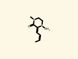 C/C=C\C=C1\C(=O)N(C)CCN1N